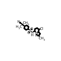 Cc1cc2c(Cl)ccc(NS(=O)(=O)c3ccc(C(C)(C)C#N)cc3)n2n1